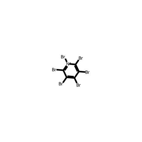 Brc1c(Br)c(Br)[n+](Br)c(Br)c1Br